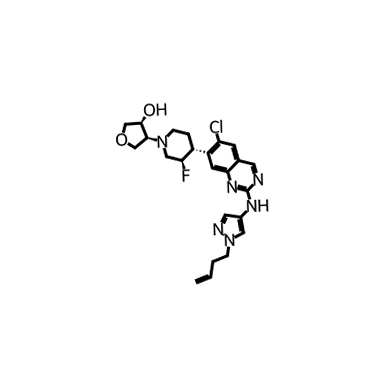 C=CCCn1cc(Nc2ncc3cc(Cl)c([C@H]4CCN([C@H]5COC[C@H]5O)C[C@@H]4F)cc3n2)cn1